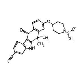 C[S+]([O-])N1CCC(Oc2ccc3c(c2)C(C)(C)c2[nH]c4cc(C#N)ccc4c2C3=O)CC1